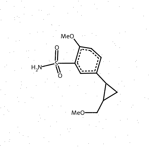 COCC1CC1c1ccc(OC)c(S(N)(=O)=O)c1